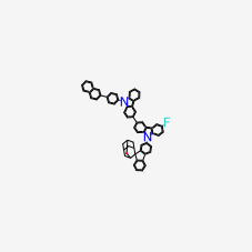 Fc1ccc2c(c1)c1cc(-c3ccc4c(c3)c3ccccc3n4-c3ccc(-c4ccc5ccccc5c4)cc3)ccc1n2-c1ccc2c(c1)C1(c3ccccc3-2)C2CC3CC(C2)CC1C3